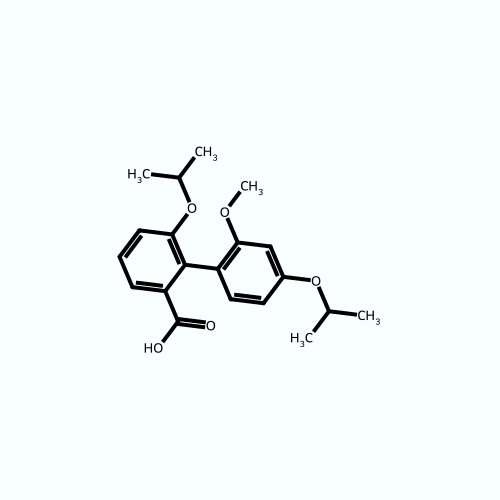 COc1cc(OC(C)C)ccc1-c1c(OC(C)C)cccc1C(=O)O